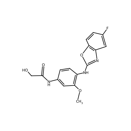 COc1cc(NC(=O)CO)ccc1Nc1nc2cc(F)ccc2o1